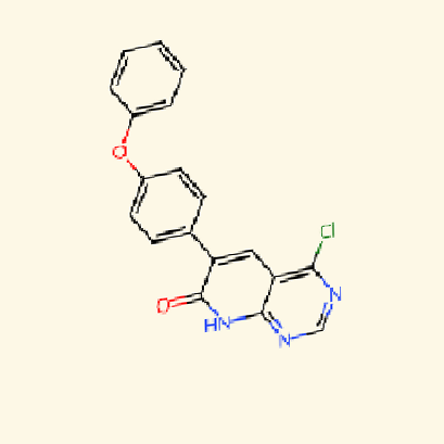 O=c1[nH]c2ncnc(Cl)c2cc1-c1ccc(Oc2ccccc2)cc1